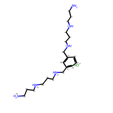 Cl.NCCCNCCCNCc1cccc(CNCCCNCCCN)c1